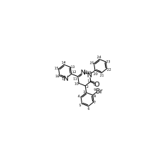 O=C1C(c2ccccc2Br)CC(c2ccccn2)=NN1c1ccccc1